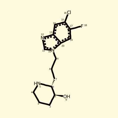 O[C@H]1CCCN[C@@H]1CCCn1cnc2cc(Cl)c(F)cc21